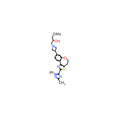 COCC(O)CN1CC(c2ccc3c(c2)OCCc2sc(-c4nc(C)nn4C(C)C)nc2-3)C1